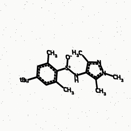 Cc1cc(C(C)(C)C)cc(C)c1[S+]([O-])Nc1c(C)nn(C)c1C